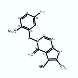 CCCc1c(C)sc2ncn(Cc3cc(F)ccc3OC)c(=O)c12